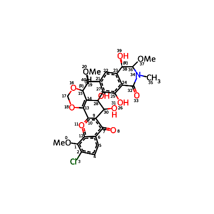 COc1c(Cl)ccc2c(=O)c3c(oc12)C1=C2[C@@H](OCO1)[C@@H](OC)c1cc4c(c(O)c1C2(O)C3O)C(=O)N(C)C(OC)[C@@H]4O